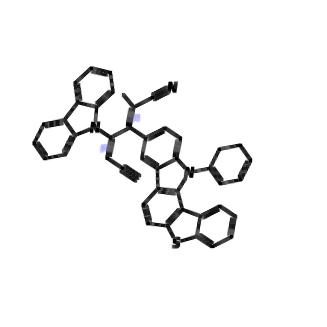 C#C/C=C(\C(=C(/C)C#N)c1ccc2c(c1)c1ccc3sc4ccccc4c3c1n2C1=CC=CCC1)n1c2ccccc2c2ccccc21